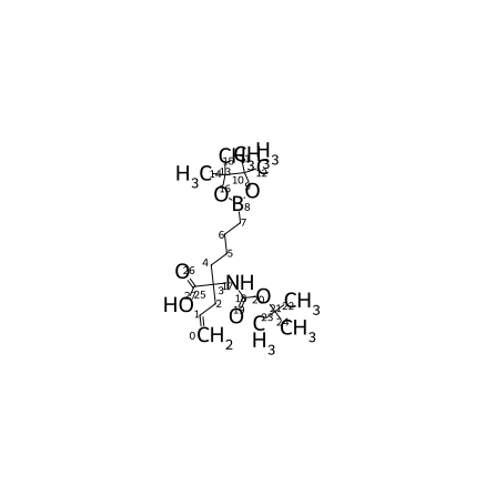 C=CCC(CCCCB1OC(C)(C)C(C)(C)O1)(NC(=O)OC(C)(C)C)C(=O)O